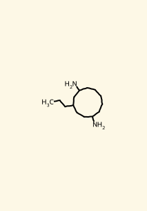 CCCC1CCC(N)CCCCCC(N)C1